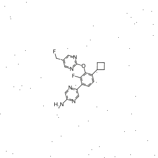 Nc1cnc(-c2ccc(C3CCC3)c(Oc3ncc(CF)cn3)c2F)cn1